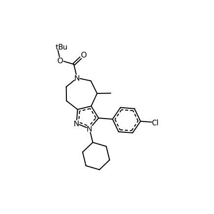 CC1CN(C(=O)OC(C)(C)C)CCc2nn(C3CCCCC3)c(-c3ccc(Cl)cc3)c21